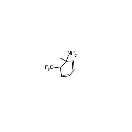 CC1(N)C=CC=CC1C(F)(F)F